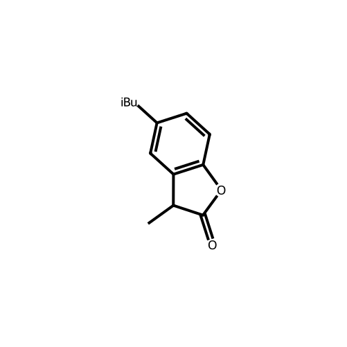 CCC(C)c1ccc2c(c1)C(C)C(=O)O2